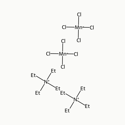 CC[N+](CC)(CC)CC.CC[N+](CC)(CC)CC.[Cl][Mn-]([Cl])([Cl])[Cl].[Cl][Mn-]([Cl])([Cl])[Cl]